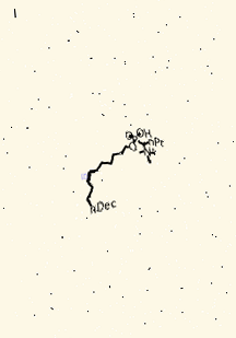 CCCCCCCCCCCC/C=C\CCCCCCOP(=O)(O)C(CCC)[N+](C)(C)C